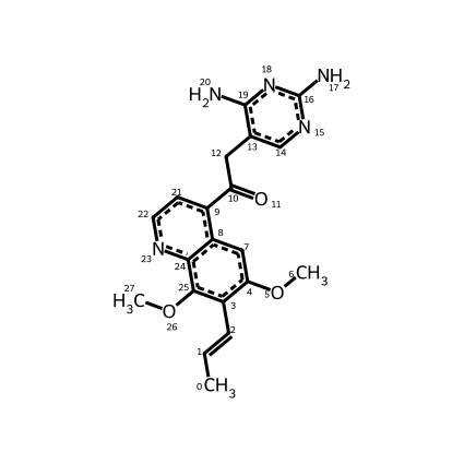 CC=Cc1c(OC)cc2c(C(=O)Cc3cnc(N)nc3N)ccnc2c1OC